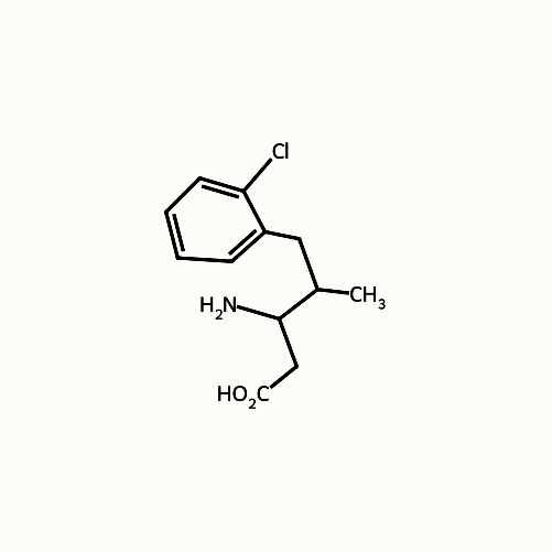 CC(Cc1ccccc1Cl)C(N)CC(=O)O